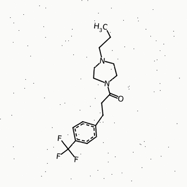 CCCN1CCN(C(=O)CCc2ccc(C(F)(F)F)cc2)CC1